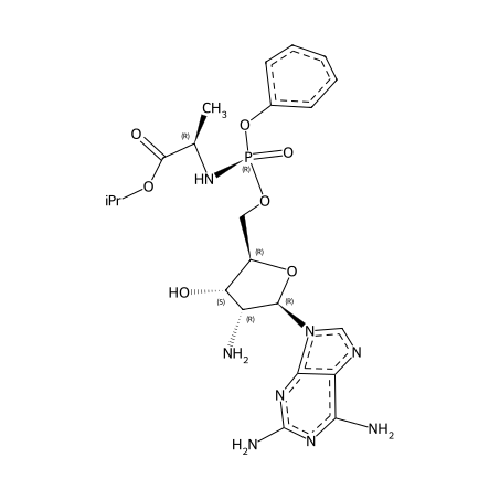 CC(C)OC(=O)[C@@H](C)N[P@@](=O)(OC[C@H]1O[C@@H](n2cnc3c(N)nc(N)nc32)[C@H](N)[C@@H]1O)Oc1ccccc1